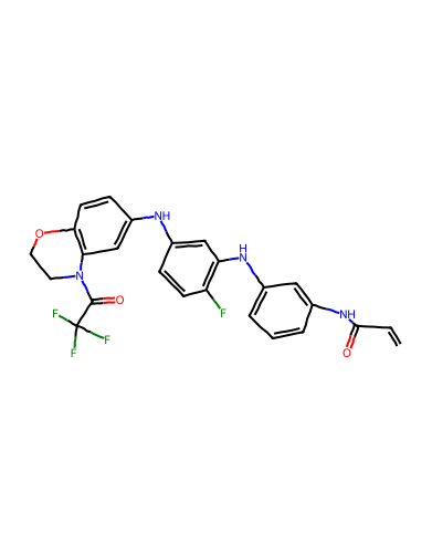 C=CC(=O)Nc1cccc(Nc2cc(Nc3ccc4c(c3)N(C(=O)C(F)(F)F)CCO4)ccc2F)c1